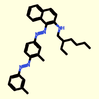 CCCCC(CC)CNc1ccc2ccccc2c1N=Nc1ccc(N=Nc2cccc(C)c2)c(C)c1